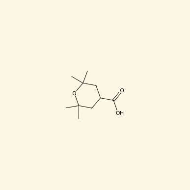 CC1(C)CC(C(=O)O)CC(C)(C)O1